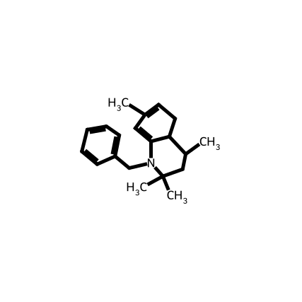 CC1=CCC2C(=C1)N(Cc1ccccc1)C(C)(C)CC2C